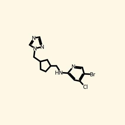 Clc1cc(NCC2CCC(Cn3cncn3)C2)ncc1Br